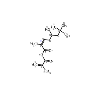 C=C(C)C(=O)OC(=O)/C(C)=C\CC(O)CC(O)(C(F)(F)F)C(F)(F)F